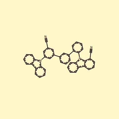 N#Cc1cc(-c2cccc(-c3ccccc3-n3c4ccccc4c4cccc(C#N)c43)c2)cc(-n2c3ccccc3c3ccccc32)c1